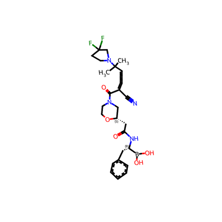 CC(C)(C=C=C(C#N)C(=O)N1CCO[C@@H](CC(=O)N[C@@H](Cc2ccccc2)B(O)O)C1)N1CCC(F)(F)C1